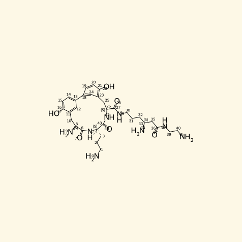 NCCC[C@@H]1NC(=O)[C@@H](N)Cc2cc(ccc2O)-c2ccc(O)c(c2)C[C@@H](C(=O)NCCC[C@H](N)CC(=O)NCCN)NC1=O